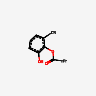 CCCC(=O)Oc1c(O)cccc1C#N